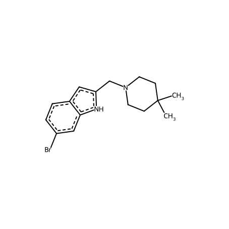 CC1(C)CCN(Cc2cc3ccc(Br)cc3[nH]2)CC1